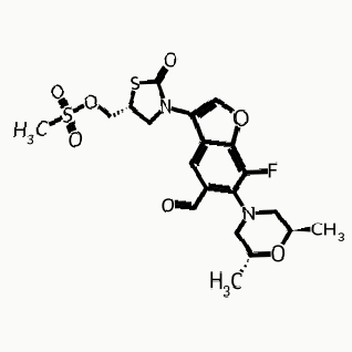 C[C@@H]1CN(c2c(C=O)cc3c(N4C[C@H](COS(C)(=O)=O)SC4=O)coc3c2F)C[C@@H](C)O1